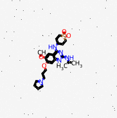 COc1cc2c(NC3CCS(=O)(=O)CC3)nc(NC(C)C)nc2cc1OCCCN1CCCC1